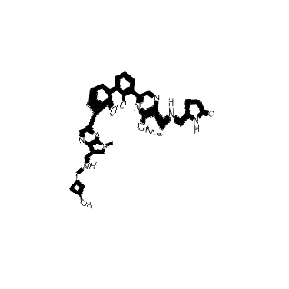 COc1nc(-c2cccc(-c3cccc(-c4cnc5c(CNC[C@H]6C[C@H](O)C6)cn(C)c5n4)c3Cl)c2Cl)cnc1CNCC1CCC(=O)N1